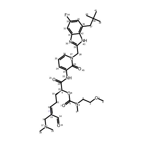 COCCN(C)C(=O)O[C@@H](CC/C=C(\C=O)CN(C)C)C(=O)Nc1cccn(Cc2nc3cc(F)cc(CC(C)(C)C)c3[nH]2)c1=O